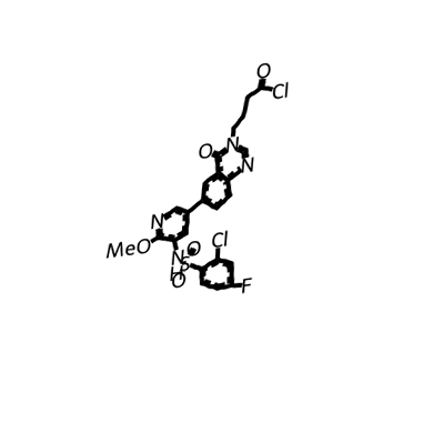 COc1ncc(-c2ccc3ncn(CCCC(=O)Cl)c(=O)c3c2)cc1NS(=O)(=O)c1ccc(F)cc1Cl